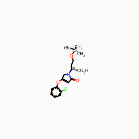 CC(C)(C)[Si](C)(C)OCC[C@@H](C(=O)O)N1CC(Oc2ccccc2Cl)=CC1=O